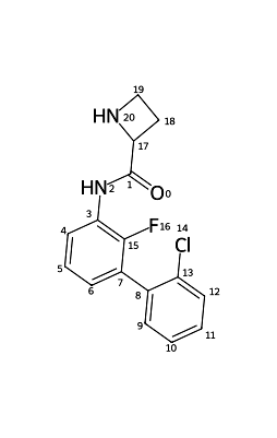 O=C(Nc1cccc(-c2ccccc2Cl)c1F)C1CCN1